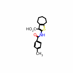 Cc1ccc(C(=O)Nc2sc3c(c2C(=O)O)CCCCC3)cc1